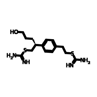 N=C(N)SCCc1ccc([C@@H](CCCO)CSC(=N)N)cc1